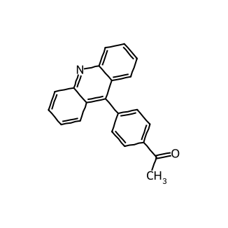 CC(=O)c1ccc(-c2c3ccccc3nc3ccccc23)cc1